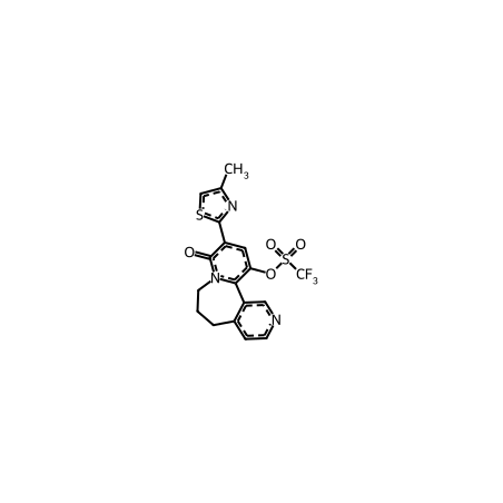 Cc1csc(-c2cc(OS(=O)(=O)C(F)(F)F)c3n(c2=O)CCCc2ccncc2-3)n1